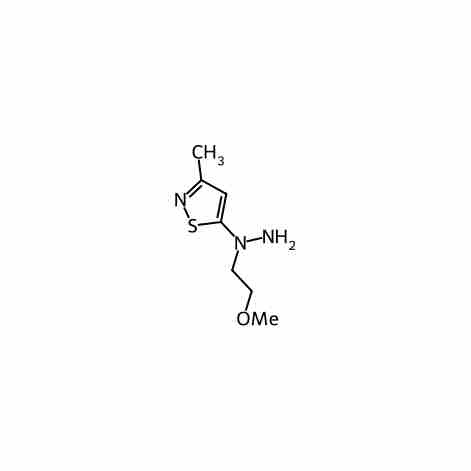 COCCN(N)c1cc(C)ns1